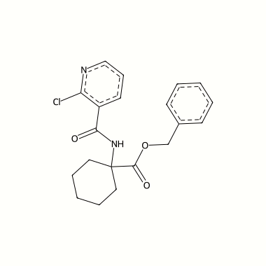 O=C(NC1(C(=O)OCc2ccccc2)CCCCC1)c1cccnc1Cl